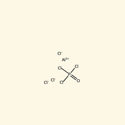 O=P(Cl)(Cl)Cl.[Al+3].[Cl-].[Cl-].[Cl-]